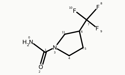 NC(=O)N1C[CH]C(C(F)(F)F)C1